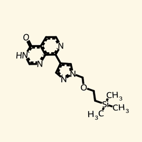 C[Si](C)(C)CCOCn1cc(-c2nccc3c(=O)[nH]cnc23)cn1